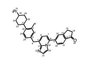 Cc1cc(Cc2ccc(-c3ccc4c(c3)CCC4=O)n3ccnc23)ccc1C1CCC(C(C)C)CC1